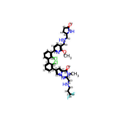 COc1nc(-c2cccc(-c3cccc(-c4cc5c(=O)n(C)c(CNCCC(F)F)nn5c4)c3Cl)c2Cl)ccc1CNCC1CCC(=O)N1